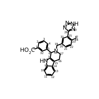 O=C(O)c1cccc(C2c3[nH]c4ccccc4c3CCN2Cc2ccc(F)c(-c3nn[nH]n3)c2)c1